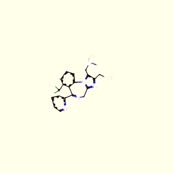 CCc1nc2n(c1CN(C)C)-c1cccc(C(F)(F)F)c1C(c1ccccn1)=NC2